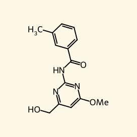 COc1cc(CO)nc(NC(=O)c2cccc(C)c2)n1